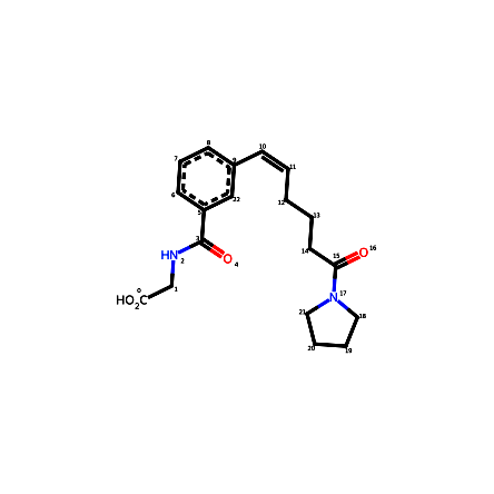 O=C(O)CNC(=O)c1cccc(/C=C\CCCC(=O)N2CCCC2)c1